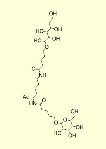 CC(=O)[C@H](CCCCNC(=O)CCCCOC(O)C(O)C(O)C(O)CCO)NC(=O)CCCCOC1OC(CO)C(O)C(O)C1O